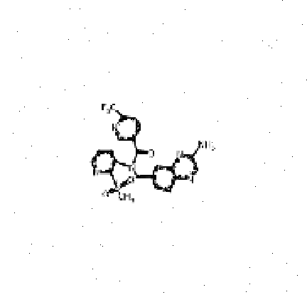 CS(=O)(=O)c1ncccc1N(Cc1ccc2ncc(N)nc2c1)C(=O)c1ccc(C(F)(F)F)nc1